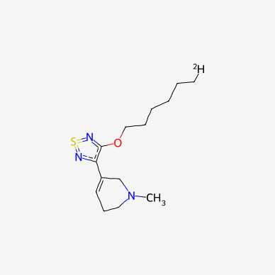 [2H]CCCCCCOc1nsnc1C1=CCCN(C)C1